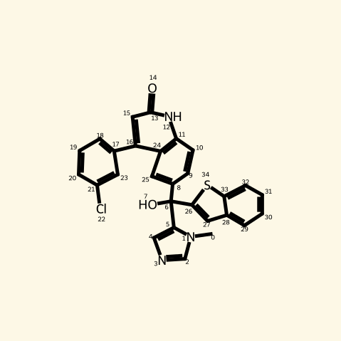 Cn1cncc1C(O)(c1ccc2[nH]c(=O)cc(-c3cccc(Cl)c3)c2c1)c1cc2ccccc2s1